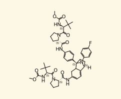 COC(=O)N[C@H](C(=O)N1CCC[C@H]1C(=O)NC1=CC=C2C(C1)[C@]1(c3ccc(NC(=O)[C@@H]4CCCN4C(=O)[C@@H](NC(=O)OC)C(C)(C)C)cc3)CC[C@@H]2N1c1ccc(F)cc1)C(C)(C)C